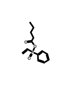 C=CP(=O)(OC(=O)CCCC)c1ccccc1